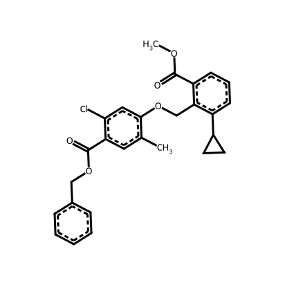 COC(=O)c1cccc(C2CC2)c1COc1cc(Cl)c(C(=O)OCc2ccccc2)cc1C